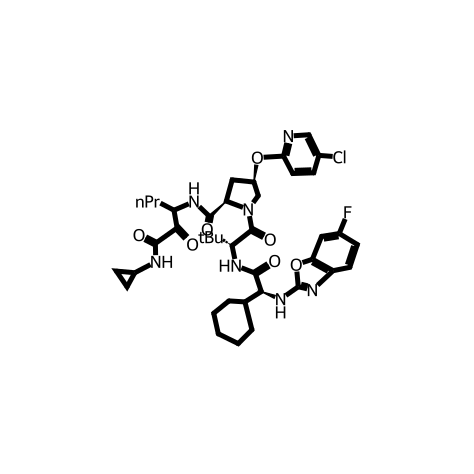 CCCC(NC(=O)[C@H]1C[C@@H](Oc2ccc(Cl)cn2)CN1C(=O)[C@H](NC(=O)[C@@H](Nc1nc2ccc(F)cc2o1)C1CCCCC1)C(C)(C)C)C(=O)C(=O)NC1CC1